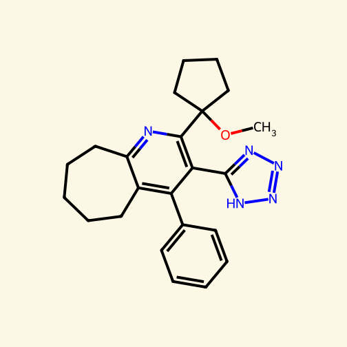 COC1(c2nc3c(c(-c4ccccc4)c2-c2nnn[nH]2)CCCCC3)CCCC1